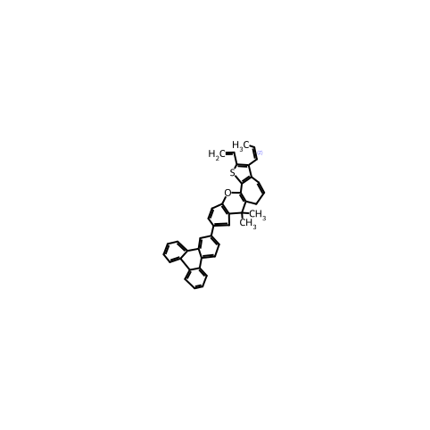 C=Cc1sc2c(c1/C=C\C)C=CCC1=C2Oc2ccc(-c3ccc4c5ccccc5c5ccccc5c4c3)cc2C1(C)C